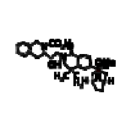 COC1C[C@H]2CC[C@@H](C1)N2C(=O)c1ccc2c(c1)C(C)(C)CN(C[C@H](O)C1Cc3ccccc3CN1C(=O)O)C2=O